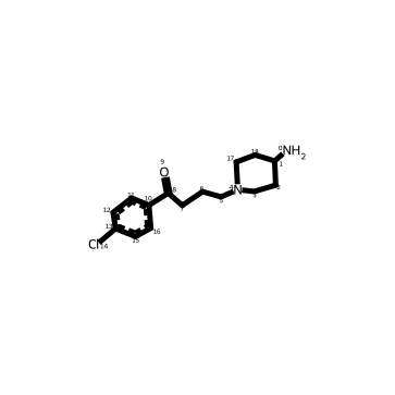 NC1CCN(CCCC(=O)c2ccc(Cl)cc2)CC1